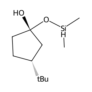 C[SiH](C)O[C@@]1(O)CC[C@@H](C(C)(C)C)C1